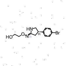 OCCO/N=C1/C[C@H](c2ccc(Br)cc2)CN1